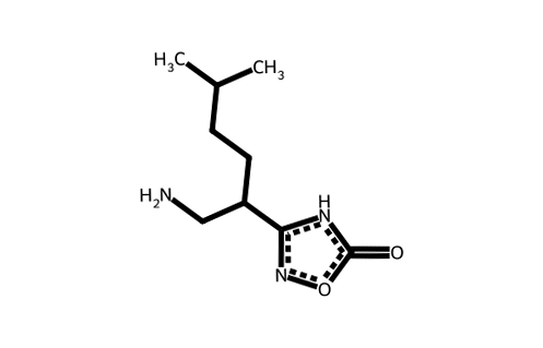 CC(C)CCC(CN)c1noc(=O)[nH]1